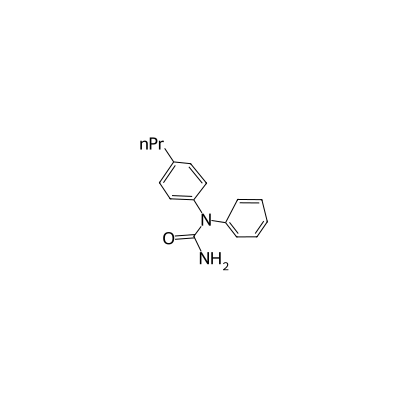 C[CH]Cc1ccc(N(C(N)=O)c2ccccc2)cc1